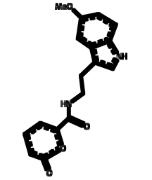 COc1ccc2[nH]cc(CCNC(=O)c3cccc(=O)o3)c2c1